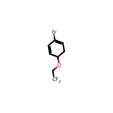 FC(F)(F)COC1C=CC(Br)=CC1